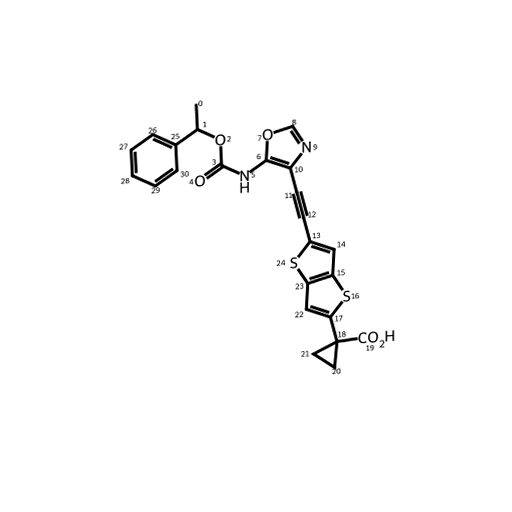 CC(OC(=O)Nc1ocnc1C#Cc1cc2sc(C3(C(=O)O)CC3)cc2s1)c1ccccc1